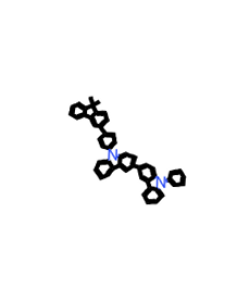 CC1(C)c2ccccc2-c2cc(-c3ccc(-n4c5ccccc5c5cc(-c6ccc7c(c6)c6ccccc6n7-c6ccccc6)ccc54)cc3)ccc21